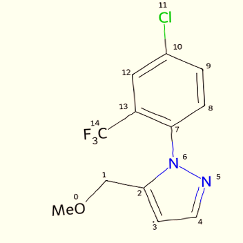 COCc1[c]cnn1-c1ccc(Cl)cc1C(F)(F)F